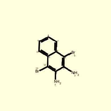 Nc1c(N)c(Br)c2ccccc2c1Br